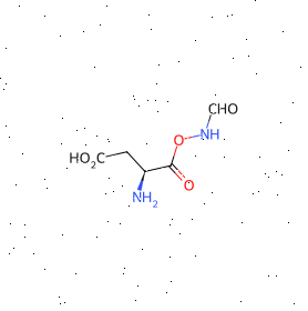 N[C@@H](CC(=O)O)C(=O)ONC=O